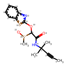 CC#CC(C)(C)NC(=O)C(Oc1nc2ccccc2s1)[S+](C)[O-]